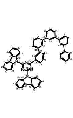 c1ccc(-c2cccc(-c3cccc(-c4cccc(-c5cccc(-c6nc(-n7c8ccccc8c8ccccc87)nc(-n7c8ccccc8c8ccccc87)n6)c5)c4)c3)c2)cc1